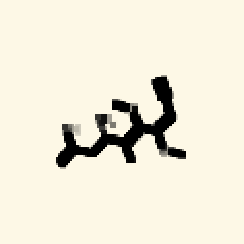 C#C/C=C(OC)\C(OC)=C(/C)[C@@H](N)CC(=C)O